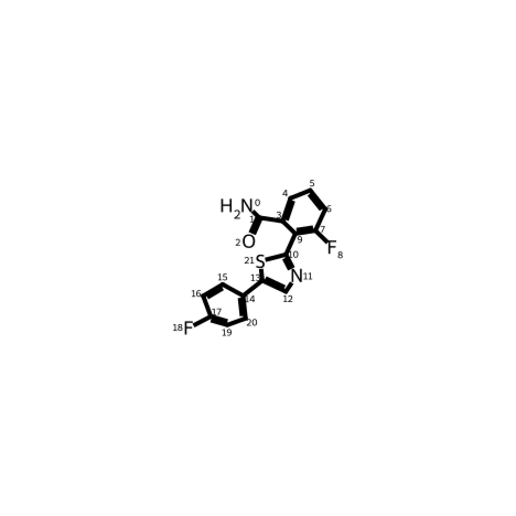 NC(=O)c1cccc(F)c1-c1ncc(-c2ccc(F)cc2)s1